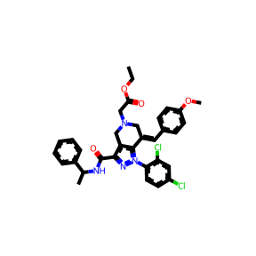 CCOC(=O)CN1CC(=Cc2ccc(OC)cc2)c2c(c(C(=O)NC(C)c3ccccc3)nn2-c2ccc(Cl)cc2Cl)C1